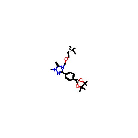 C=C1N(C)N=C(c2ccc(B3OC(C)(C)C(C)(C)O3)cc2)N1COCC[Si](C)(C)C